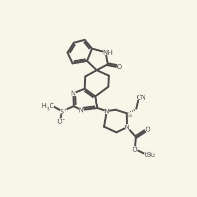 C[S+]([O-])c1nc2c(c(N3CCN(C(=O)OC(C)(C)C)[C@@H](CC#N)C3)n1)CCC1(C2)C(=O)Nc2ccccc21